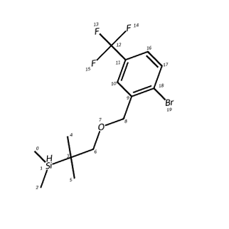 C[SiH](C)C(C)(C)COCc1cc(C(F)(F)F)ccc1Br